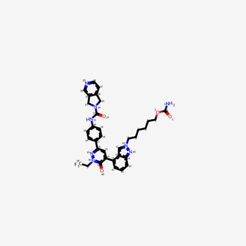 NC(=O)OCCCCCCn1cc2c(-c3cc(-c4ccc(NC(=O)N5Cc6ccncc6C5)cc4)nn(CC(F)(F)F)c3=O)cccc2n1